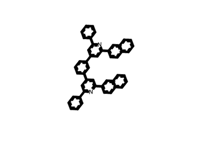 c1ccc(-c2cc(-c3cccc(-c4cc(-c5ccccc5)nc(-c5ccc6ccccc6c5)c4)c3)cc(-c3ccc4ccccc4c3)n2)cc1